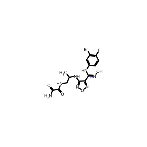 CC(CNC(=O)C(N)=O)Nc1nonc1/C(=N/O)Nc1ccc(F)c(Br)c1